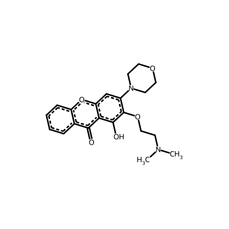 CN(C)CCOc1c(N2CCOCC2)cc2oc3ccccc3c(=O)c2c1O